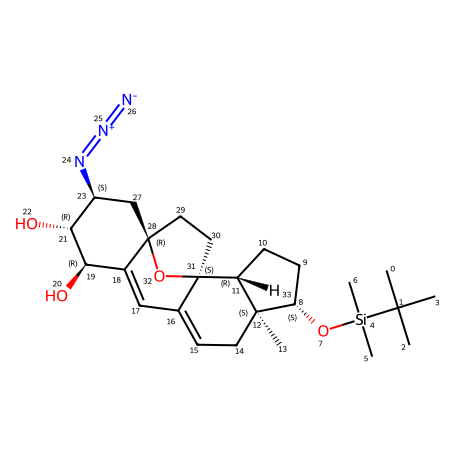 CC(C)(C)[Si](C)(C)O[C@H]1CC[C@@H]2[C@]1(C)CC=C1C=C3[C@@H](O)[C@H](O)[C@@H](N=[N+]=[N-])C[C@]34CC[C@@]12O4